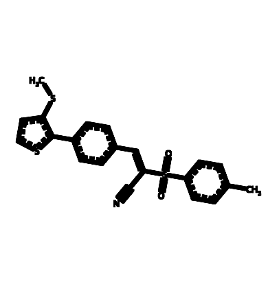 CSc1ccsc1-c1ccc(/C=C(\C#N)S(=O)(=O)c2ccc(C)cc2)cc1